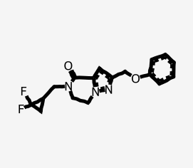 O=C1c2cc(COc3ccccc3)nn2CCN1CC1CC1(F)F